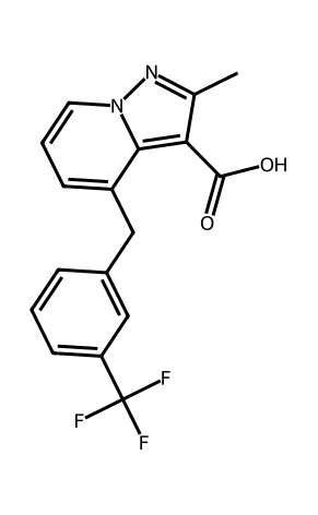 Cc1nn2cccc(Cc3cccc(C(F)(F)F)c3)c2c1C(=O)O